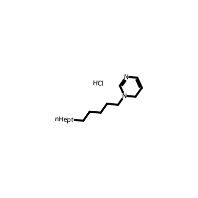 CCCCCCCCCCCCN1C=NC=CC1.Cl